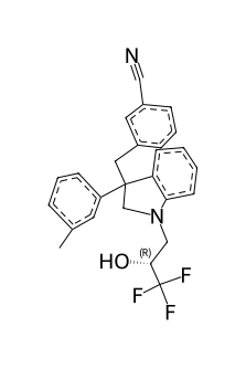 Cc1cccc(C2(Cc3cccc(C#N)c3)CN(C[C@@H](O)C(F)(F)F)c3ccccc32)c1